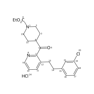 CCOC(=O)N1CCC(C(=O)c2ncccc2CCc2cccc(Cl)c2)CC1.Cl